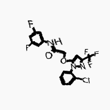 O=C(COc1cc(C(F)(F)F)nn1-c1ccccc1Cl)Nc1cc(F)cc(F)c1